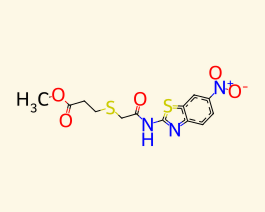 COC(=O)CCSCC(=O)Nc1nc2ccc([N+](=O)[O-])cc2s1